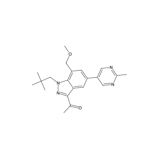 COCc1cc(-c2cnc(C)nc2)cc2c(C(C)=O)nn(CC(C)(C)C)c12